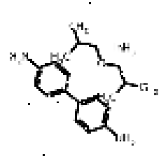 CC(C)COCC(C)C.Nc1ccc(-c2ccc(N)cc2)cc1.[InH3]